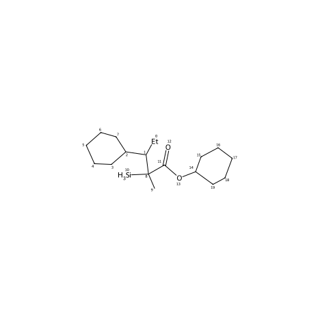 CCC(C1CCCCC1)C(C)([SiH3])C(=O)OC1CCCCC1